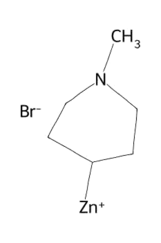 CN1CC[CH]([Zn+])CC1.[Br-]